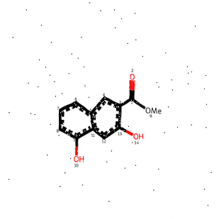 COC(=O)c1cc2cccc(O)c2cc1O